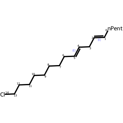 CCCCC/C=C/C/C=C/CCCCCCCCCl